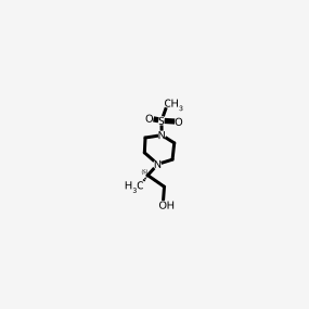 C[C@@H](CO)N1CCN(S(C)(=O)=O)CC1